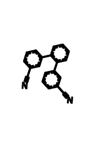 N#Cc1cccc(-c2ccccc2-c2cccc(C#N)c2)c1